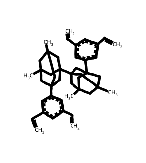 C=Cc1cc(C=C)cc(C23CC4(C)CC(C)(C2)CC(C25CC6(C)CC(C)(CC(c7cc(C=C)cc(C=C)c7)(C6)C2)C5)(C4)C3)c1